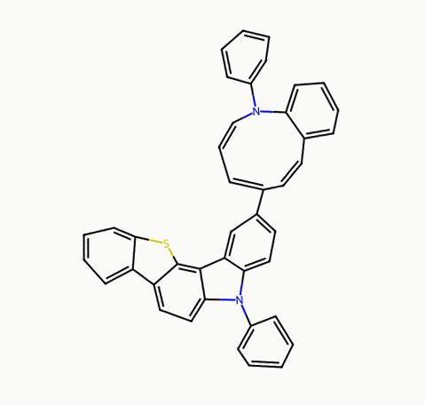 c1ccc(-n2cccc(-c3ccc4c(c3)c3c5sc6ccccc6c5ccc3n4-c3ccccc3)ccc3ccccc32)cc1